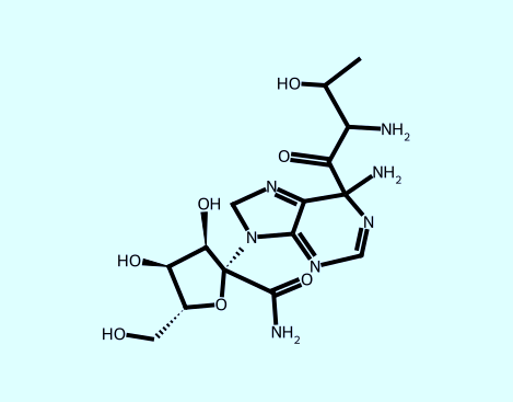 CC(O)C(N)C(=O)C1(N)N=CN=C2C1=NCN2[C@]1(C(N)=O)O[C@H](CO)[C@@H](O)[C@H]1O